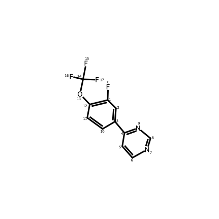 Fc1cc(-c2ccncn2)ccc1OC(F)(F)F